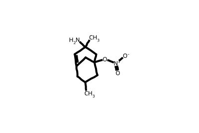 CC1CC2=CC(C)(N)CC(O[N+](=O)[O-])(C2)C1